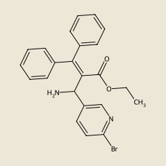 CCOC(=O)C(=C(c1ccccc1)c1ccccc1)C(N)c1ccc(Br)nc1